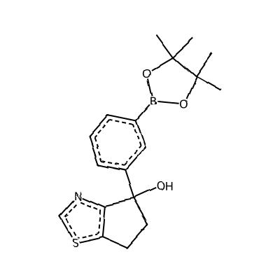 CC1(C)OB(c2cccc(C3(O)CCc4scnc43)c2)OC1(C)C